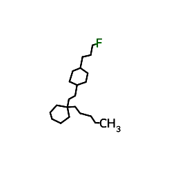 CCCCCC1(CCC2CCC(CCCF)CC2)CCCCC1